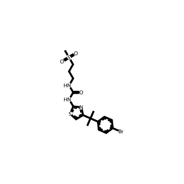 CC(C)(c1ccc(Br)cc1)c1csc(NC(=O)NCCCS(C)(=O)=O)n1